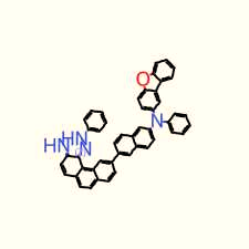 N=C1C=Cc2ccc3ccc(-c4ccc5cc(N(c6ccccc6)c6ccc7oc8ccccc8c7c6)ccc5c4)cc3c2/C1=N/Nc1ccccc1